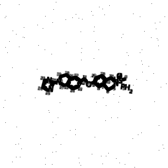 C[SH](=O)(P)N1CCc2cc(OCc3ccc4c(c3)CCN(c3ncccn3)C4)ccc2C1